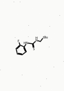 CC(C)(C)CNC(=S)Nc1ccccc1F